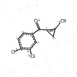 N#CC1=C(C(=O)c2ccc(Cl)c(Cl)c2)C1